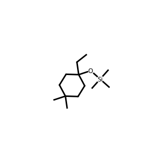 CCC1(O[Si](C)(C)C)CCC(C)(C)CC1